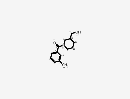 Cc1cccc(C(=O)N2CCCC(CO)C2)c1